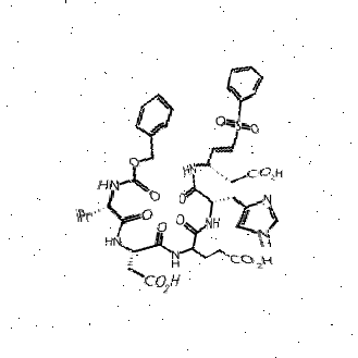 CC(C)[C@H](NC(=O)OCc1ccccc1)C(=O)N[C@@H](CC(=O)O)C(=O)NC(CCC(=O)O)C(=O)N[C@@H](Cc1c[nH]cn1)C(=O)N[C@H](/C=C/S(=O)(=O)c1ccccc1)CC(=O)O